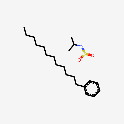 CC(C)N=S(=O)=O.CCCCCCCCCCCCc1ccccc1